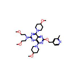 COCCN(CCOC)c1nc(N2CCC(OC)CC2)c2nc(OCc3ccnc(C)c3)nc(N3CCC(OC)CC3)c2n1